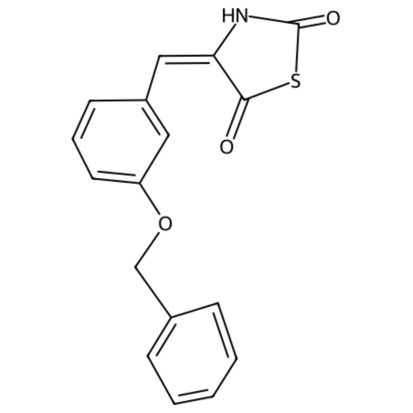 O=C1NC(=Cc2cccc(OCc3ccccc3)c2)C(=O)S1